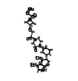 CCc1c[nH]c2ncc(-c3cccc(N4CCN(C(=O)COC5CN(C(=O)OC(C)(C)C)C5)CC4=O)c3)c(Cl)c12